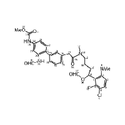 CNc1ccc(Cl)c(F)c1C(CCCN(C)C(=O)Cc1cc(-c2ccc(NC(=O)OC)cc2NC=O)ccn1)OC=O